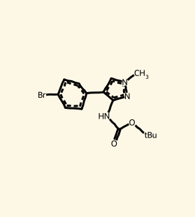 Cn1cc(-c2ccc(Br)cc2)c(NC(=O)OC(C)(C)C)n1